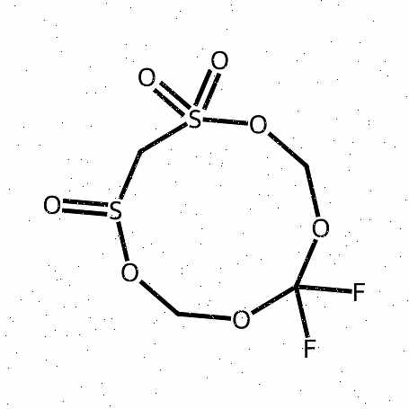 O=S1CS(=O)(=O)OCOC(F)(F)OCO1